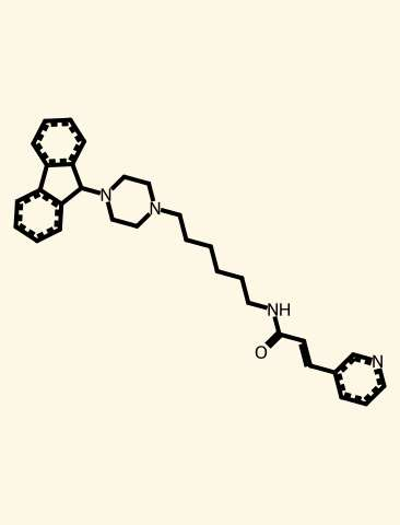 O=C(C=Cc1cccnc1)NCCCCCCN1CCN(C2c3ccccc3-c3ccccc32)CC1